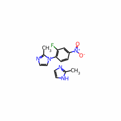 Cc1ncc[nH]1.Cc1nccn1-c1ccc([N+](=O)[O-])cc1F